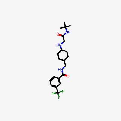 CC(C)(C)NC(=O)CNC1CCC(CNC(=O)c2cccc(C(F)(F)F)c2)CC1